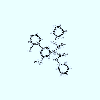 COc1cc(-c2ccccc2F)cc(N(C(=O)Oc2ccccc2)C(=O)Oc2ccccc2)n1